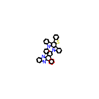 c1ccc(-c2cc(-n3c4ccccc4c4c5sc6ccccc6c5c5c6ccccc6n(-c6ccccc6)c5c43)ccc2-c2nc3ccccc3nc2-c2ccccc2)cc1